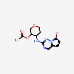 CC(=O)OC1COCCC1Nc1ncc2ccc(Br)n2n1